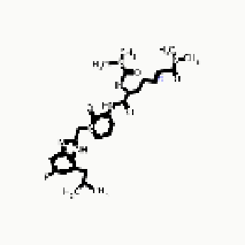 CC(C)Cc1cc(F)cc2nc(Cn3cccc(NC(=O)C(CC/C=C/C(=O)N(C)C)NC(=O)N(C)C)c3=O)[nH]c12